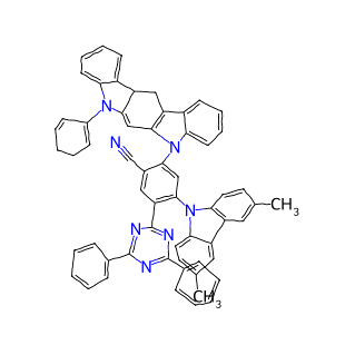 Cc1ccc2c(c1)c1cc(C)ccc1n2-c1cc(-n2c3c(c4ccccc42)CC2C(=C3)N(C3=CCCC=C3)c3ccccc32)c(C#N)cc1-c1nc(-c2ccccc2)nc(-c2ccccc2)n1